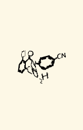 N#Cc1ccc(NC(=O)c2c(Cl)cccc2C(=O)O)cc1